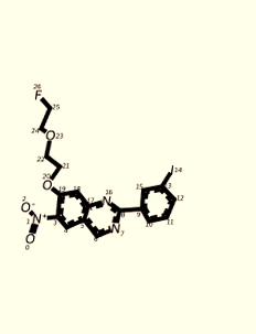 O=[N+]([O-])c1cc2[c]nc(-c3cccc(I)c3)nc2cc1OCCOCCF